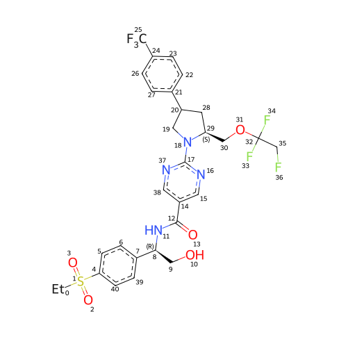 CCS(=O)(=O)c1ccc([C@H](CO)NC(=O)c2cnc(N3CC(c4ccc(C(F)(F)F)cc4)C[C@H]3COC(F)(F)CF)nc2)cc1